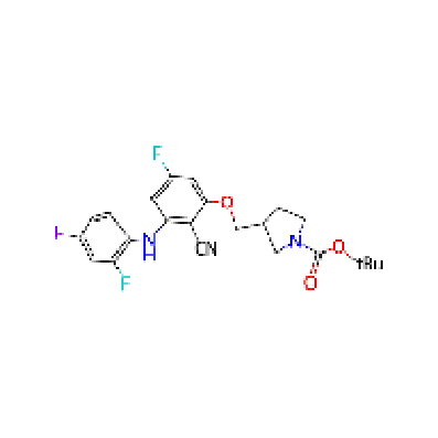 CC(C)(C)OC(=O)N1CCC(COc2cc(F)cc(Nc3ccc(I)cc3F)c2C#N)C1